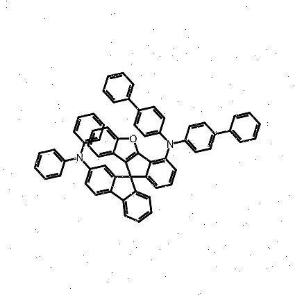 c1ccc(-c2ccc(N(c3ccc(-c4ccccc4)cc3)c3cccc4c3-c3oc5ccccc5c3C43c4ccccc4-c4ccc(N(c5ccccc5)c5ccccc5)cc43)cc2)cc1